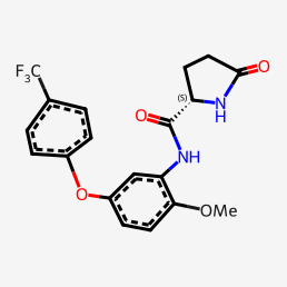 COc1ccc(Oc2ccc(C(F)(F)F)cc2)cc1NC(=O)[C@@H]1CCC(=O)N1